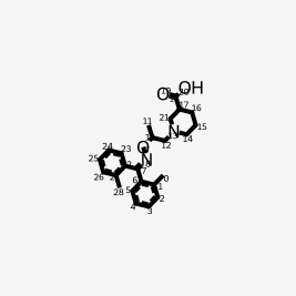 Cc1ccccc1C(=NOC(C)CN1CCCC(C(=O)O)C1)c1ccccc1C